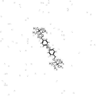 CC(C)(C)[Si](C)(C)OCc1cc[c]([Mg][c]2ccc(CO[Si](C)(C)C(C)(C)C)cc2)cc1